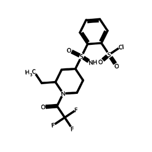 CCC1CC(S(=N)(=O)c2ccccc2S(=O)(=O)Cl)CCN1C(=O)C(F)(F)F